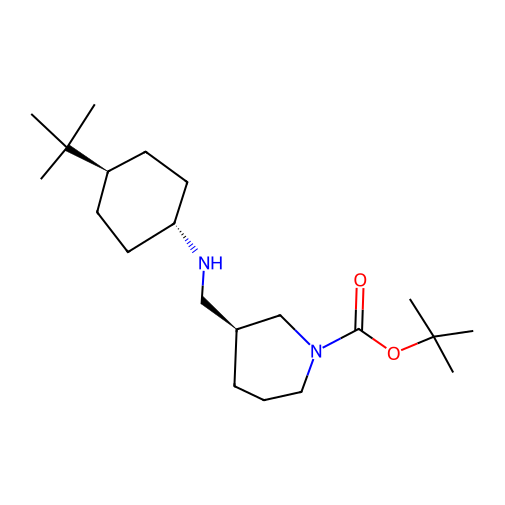 CC(C)(C)OC(=O)N1CCC[C@@H](CN[C@H]2CC[C@H](C(C)(C)C)CC2)C1